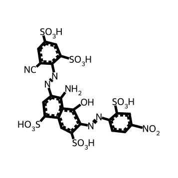 N#Cc1cc(S(=O)(=O)O)cc(S(=O)(=O)O)c1N=Nc1cc(S(=O)(=O)O)c2cc(S(=O)(=O)O)c(N=Nc3ccc([N+](=O)[O-])cc3S(=O)(=O)O)c(O)c2c1N